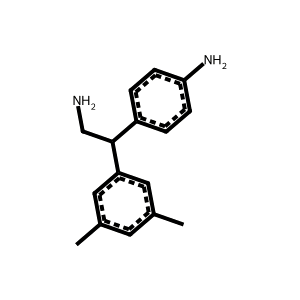 Cc1cc(C)cc(C(CN)c2ccc(N)cc2)c1